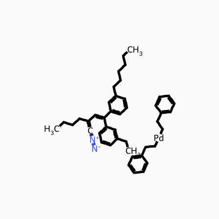 CCCCCCc1cccc(C(=CC(=C=[N+]=[N-])CCCC)c2cccc(CC)c2)c1.c1ccc(C[CH2][Pd][CH2]Cc2ccccc2)cc1